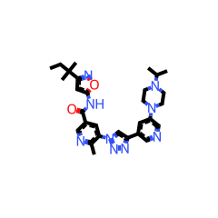 CCC(C)(C)c1cc(NC(=O)c2cnc(C)c(-n3cc(-c4cncc(N5CCN(C(C)C)CC5)c4)nn3)c2)on1